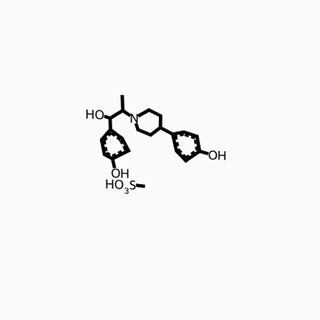 CC(C(O)c1ccc(O)cc1)N1CCC(c2ccc(O)cc2)CC1.CS(=O)(=O)O